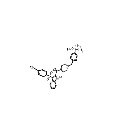 CC(C)(C)c1ccc(CN2CCN(C(=O)c3[nH]c4ccccc4c3S(=O)(=O)c3ccc(Cl)cc3)CC2)cc1